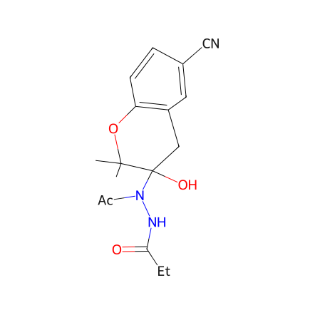 CCC(=O)NN(C(C)=O)C1(O)Cc2cc(C#N)ccc2OC1(C)C